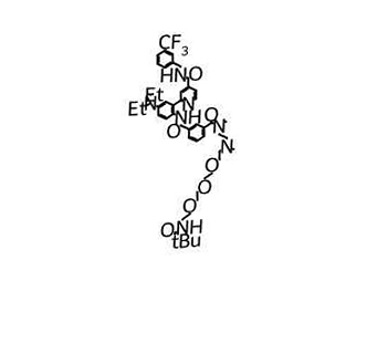 CCN(CC)c1ccc(NC(=O)c2cccc(C(=O)N(C)CCN(C)CCOCCOCCOCCNC(=O)C(C)(C)C)c2)c(-c2cc(C(=O)NCc3cccc(C(F)(F)F)c3)ccn2)c1